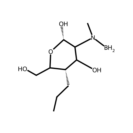 BN(C)C1C(O)[C@H](CCC)C(CO)O[C@@H]1O